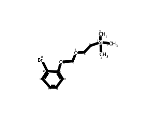 C[Si](C)(C)CCOCOc1ccccc1Br